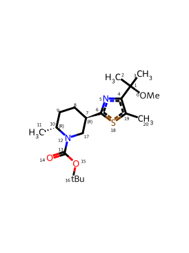 COC(C)(C)c1nc([C@@H]2CC[C@@H](C)N(C(=O)OC(C)(C)C)C2)sc1C